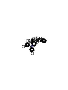 O=C(O)c1nn(-c2ccc(Cl)cc2Cl)c2c1C(NS(=O)(=O)NCc1ccccc1)CCC/C2=C\c1ccc(Cl)cc1